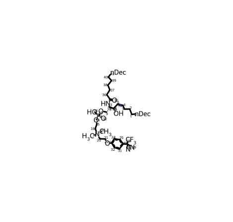 CCCCCCCCCCCCC/C=C\[C@@H](O)[C@H](COP(=O)(O)OCC[N+](C)(C)CCOc1ccc(C2(C(F)(F)F)N=N2)cc1)NC(=O)CCCCCCCCCCCCCCC